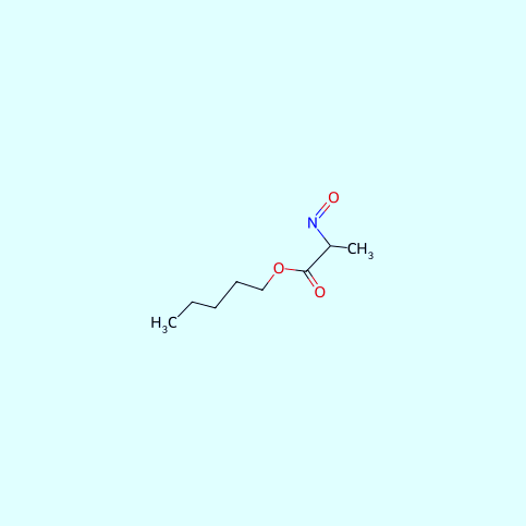 CCCCCOC(=O)C(C)N=O